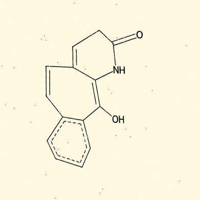 O=C1CC=C2C=Cc3ccccc3C(O)=C2N1